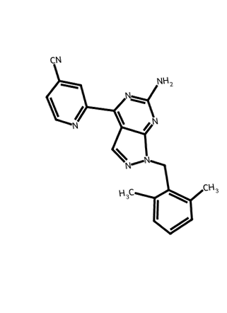 Cc1cccc(C)c1Cn1ncc2c(-c3cc(C#N)ccn3)nc(N)nc21